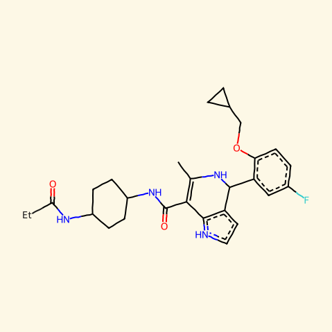 CCC(=O)NC1CCC(NC(=O)C2=C(C)NC(c3cc(F)ccc3OCC3CC3)c3cc[nH]c32)CC1